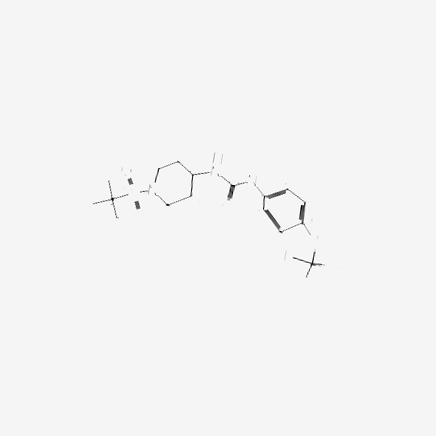 CC(C)(C)S(=O)(=O)N1CCC(NC(=O)Nc2ccc(OC(F)(F)F)cc2)CC1